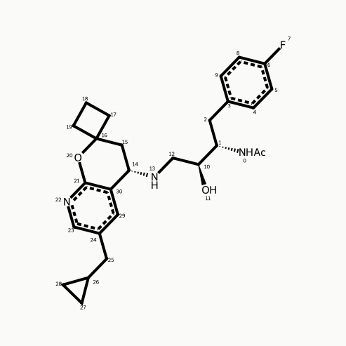 CC(=O)N[C@@H](Cc1ccc(F)cc1)[C@@H](O)CN[C@H]1CC2(CCC2)Oc2ncc(CC3CC3)cc21